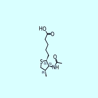 CC(=O)N[C@@H]1[C@H](CCCCC(=O)O)SC[C@@H]1C